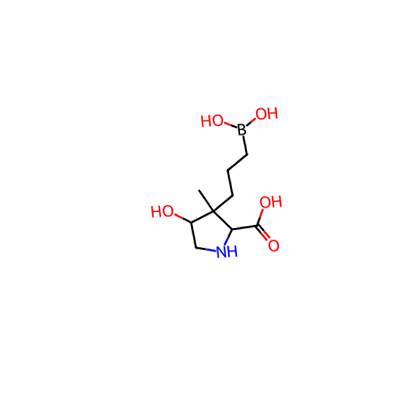 CC1(CCCB(O)O)C(O)CNC1C(=O)O